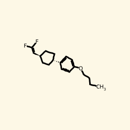 CCCCOc1ccc([C@H]2CC[C@H](C=C(F)F)CC2)cc1